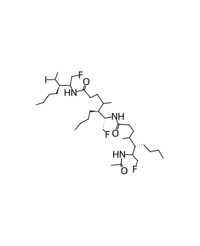 CCCC[C@@H](C(C)I)C(CF)NC(=O)CCC(C)[C@H](CCCC)[C@@H](CF)NC(=O)CCC(C)[C@H](CCCC)C(CF)NC(C)=O